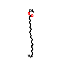 CCCC/C=C/CCCCCCCCCCCC(=O)OC